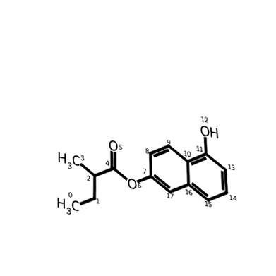 CCC(C)C(=O)Oc1ccc2c(O)cccc2c1